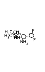 CC(C)(C)OC(=O)Nc1ccc(-c2cc(F)cc(F)c2)cc1N